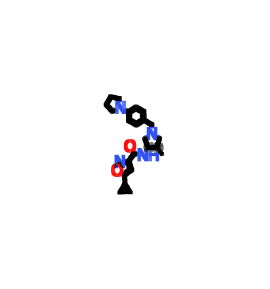 C[C@@H]1CN(Cc2ccc(N3CCCC3)cc2)C[C@H]1NC(=O)c1cc(C2CC2)on1